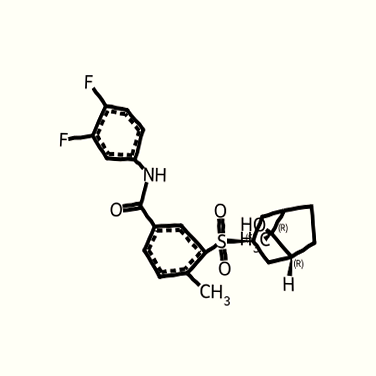 Cc1ccc(C(=O)Nc2ccc(F)c(F)c2)cc1S(=O)(=O)[C@H]1CC2CC[C@H](C1)[C@]2(C)O